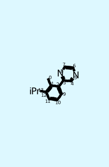 Cc1c(-c2cnccn2)cccc1C(C)C